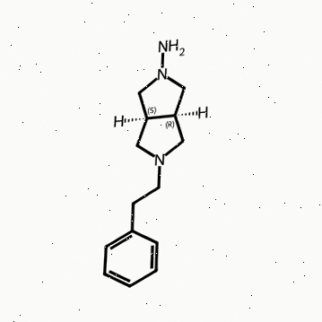 NN1C[C@@H]2CN(CCc3ccccc3)C[C@@H]2C1